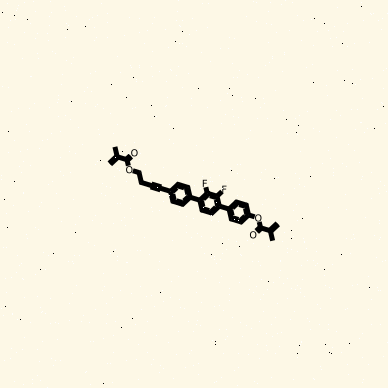 C=C(C)C(=O)OCCC#Cc1ccc(-c2ccc(-c3ccc(OC(=O)C(=C)C)cc3)c(F)c2F)cc1